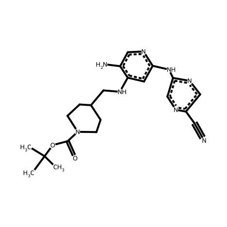 CC(C)(C)OC(=O)N1CCC(CNc2cc(Nc3cnc(C#N)cn3)ncc2N)CC1